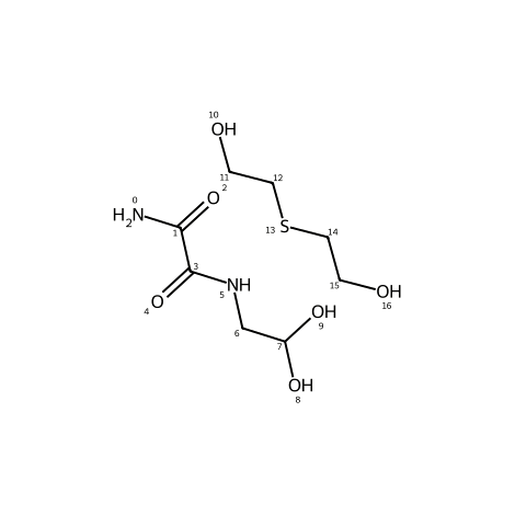 NC(=O)C(=O)NCC(O)O.OCCSCCO